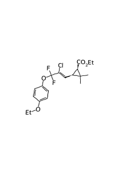 CCOC(=O)[C@@H]1[C@H](C=C(Cl)C(F)(F)Oc2ccc(OCC)cc2)C1(C)C